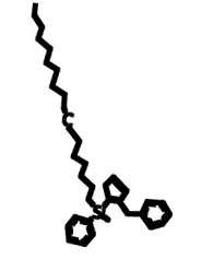 CCCCCCCCCCCCCCCCCC[Si](C)(C1=C(Cc2ccccc2)C=CC1)c1ccccc1